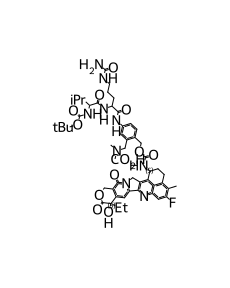 CC[C@@]1(O)C(=O)OCc2c1cc1n(c2=O)Cc2c-1nc1cc(F)c(C)c3c1c2[C@@H](NC(=O)OCc1ccc(NC(=O)C(CCCNC(N)=O)NC(=O)C(NC(=O)OC(C)(C)C)C(C)C)cc1CN(C)C(=O)O)CC3